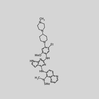 CCc1cc(Nc2nc(Nc3ccc4nccnc4c3N(C)SC)c3cc[nH]c3n2)c(OC)cc1N1CCC(N2CCN(C)CC2)CC1